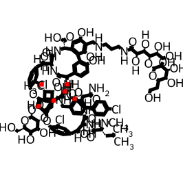 CN[C@H](CC(C)C)C(=O)N[C@H]1C(=O)N[C@@H](CC(N)=O)C(=O)N[C@H]2C(=O)N[C@@H]3C(=O)N[C@H](C(=O)N[C@H](C(=O)O)c4cc(O)c(CNCCCNC(=O)[C@H](O)[C@@H](O)[C@H](O[C@@H]5OC(CCO)[C@H](O)[C@H](O)C5O)[C@H](O)CO)c(O)c4-c4cc3ccc4O)[C@H](O)c3ccc(c(Cl)c3)Oc3cc2cc(c3O[C@@H]2O[C@H](CO)C(O)C(O)[C@H]2O[C@H](O)CC2(NCc3ccc(-c4ccc(Cl)cc4)cc3)C[C@@H](C)[C@@H]2O)Oc2ccc(cc2Cl)[C@H]1O